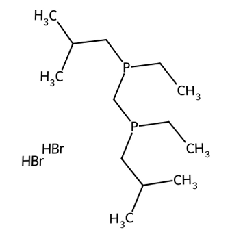 Br.Br.CCP(CC(C)C)CP(CC)CC(C)C